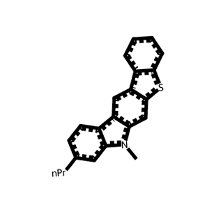 CCCc1ccc2c3cc4c(cc3n(C)c2c1)sc1ccccc14